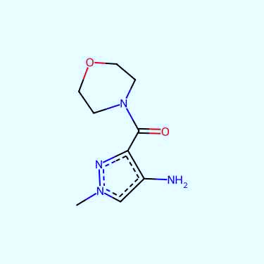 Cn1cc(N)c(C(=O)N2CCOCC2)n1